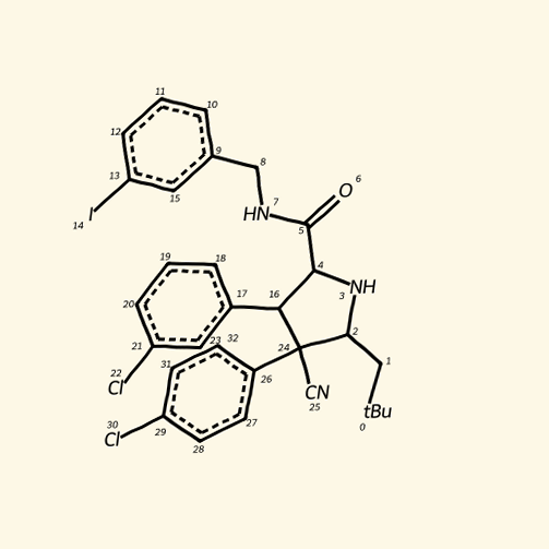 CC(C)(C)CC1NC(C(=O)NCc2cccc(I)c2)C(c2cccc(Cl)c2)C1(C#N)c1ccc(Cl)cc1